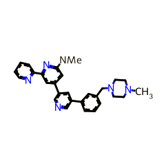 CNc1cc(-c2cncc(-c3cccc(CN4CCN(C)CC4)c3)c2)cc(-c2ccccn2)n1